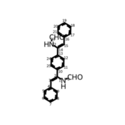 O=CNC(=Cc1ccccc1)c1ccc(C(=Cc2ccccc2)NC=O)cc1